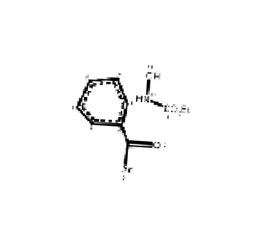 CC(=O)C(=O)c1ccccc1.CCOC(=O)NO